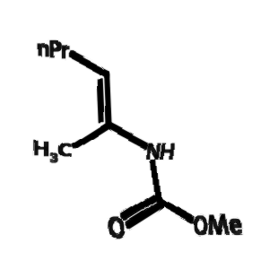 CCC/C=C(\C)NC(=O)OC